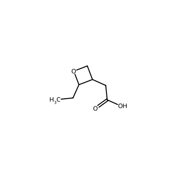 CCC1OCC1CC(=O)O